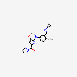 O=Cc1ccc(N2CCOc3cc(C(=O)N4CCCC4)[nH]c32)cc1CNC1CC1